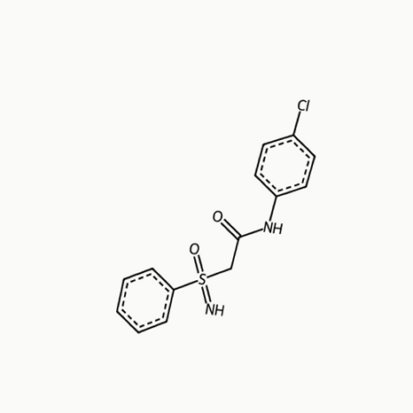 N=S(=O)(CC(=O)Nc1ccc(Cl)cc1)c1ccccc1